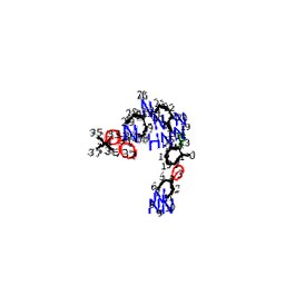 Cc1c(Oc2ccn3ncnc3c2)ccc(Nc2ncnc3ccc(N(C)C4CCN(C(=O)OC(C)(C)C)CC4)nc23)c1F